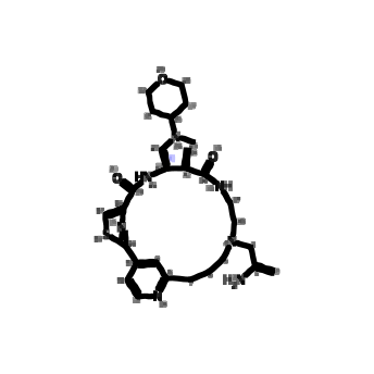 C=C(N)CN1CCCc2cc(ccn2)-c2nc(cs2)C(=O)N/C(=C/N(C)C2CCOCC2)C(=C)C(=O)NCC1